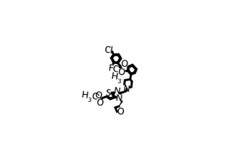 COC(=O)c1cc2c(nc(CN3CCC(c4cccc5c4OC(C)(c4ccc(Cl)cc4F)O5)CC3)n2C[C@@H]2CCO2)s1